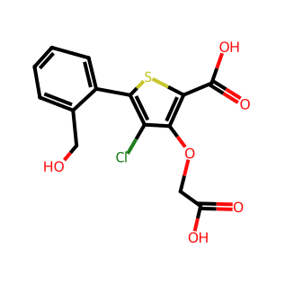 O=C(O)COc1c(C(=O)O)sc(-c2ccccc2CO)c1Cl